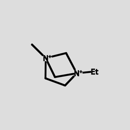 CC[N+]12CC[N+](C)(C1)C2